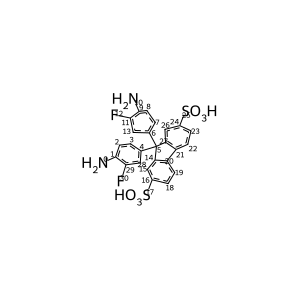 Nc1ccc(C2(c3ccc(N)c(F)c3)c3cc(S(=O)(=O)O)ccc3-c3ccc(S(=O)(=O)O)cc32)cc1F